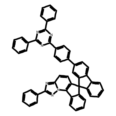 c1ccc(-c2nc(-c3ccccc3)nc(-c3ccc(-c4ccc5c(c4)C4(c6ccccc6-5)c5ccccc5-c5c4ccc4nc(-c6ccccc6)nn54)cc3)n2)cc1